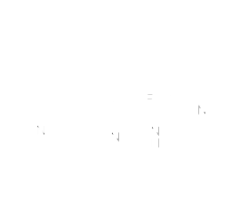 CC(NCc1ccc(C#N)cn1)c1ncccc1F